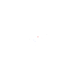 CC1CC2CCCC(C1)N2C(=O)OC1(C)CCC1